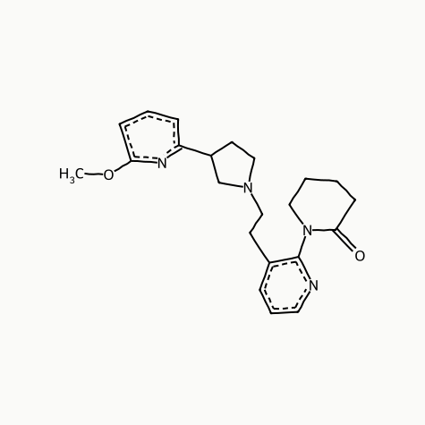 COc1cccc(C2CCN(CCc3cccnc3N3CCCCC3=O)C2)n1